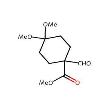 COC(=O)C1(C=O)CCC(OC)(OC)CC1